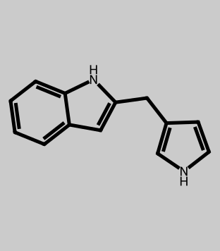 c1ccc2[nH]c(Cc3cc[nH]c3)cc2c1